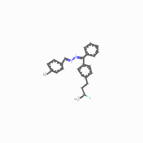 CCc1ccc(C=NN=C(c2ccccc2)c2ccc(CCC(C)F)cc2)cc1